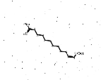 CCCCCCCC/C=C\CCCCCCCCCC(=O)C(C)C